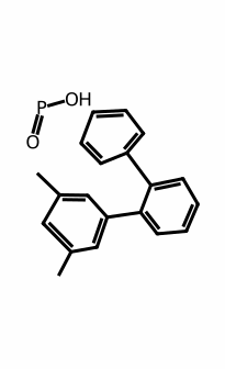 Cc1cc(C)cc(-c2ccccc2-c2ccccc2)c1.O=PO